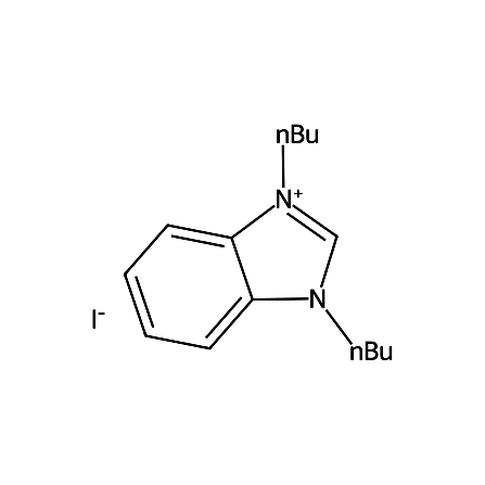 CCCCn1c[n+](CCCC)c2ccccc21.[I-]